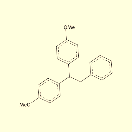 COc1ccc([C](Cc2ccccc2)c2ccc(OC)cc2)cc1